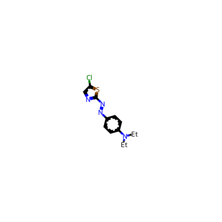 CCN(CC)c1ccc(N=Nc2ncc(Cl)s2)cc1